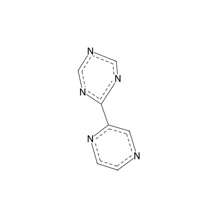 c1cnc(-c2ncncn2)cn1